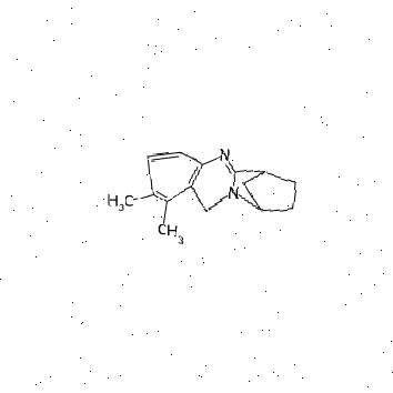 Cc1ccc2c(c1C)CN1C(=N2)C2CCC1C2